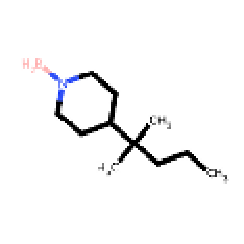 BN1CCC(C(C)(C)CCC)CC1